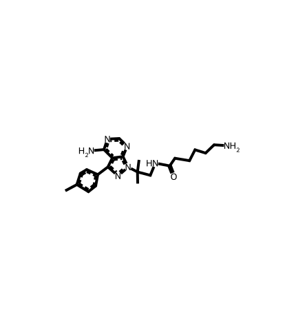 Cc1ccc(-c2nn(C(C)(C)CNC(=O)CCCCCN)c3ncnc(N)c23)cc1